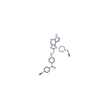 C#CC[C@H]1CC[C@H](n2c(COc3ccc(C(=O)c4ccc(C#C)cc4)cc3)nc3cnc4[nH]ccc4c32)CC1